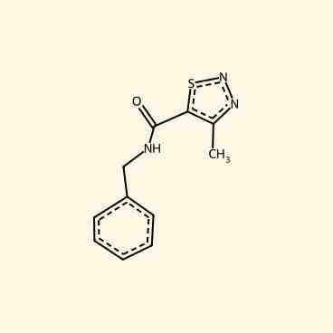 Cc1nnsc1C(=O)NCc1ccccc1